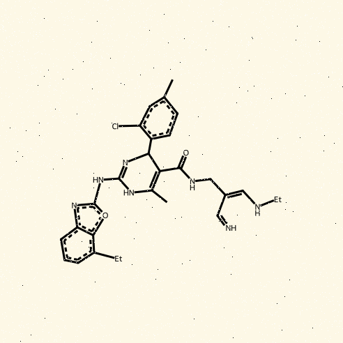 CCN/C=C(\C=N)CNC(=O)C1=C(C)NC(Nc2nc3cccc(CC)c3o2)=NC1c1ccc(C)cc1Cl